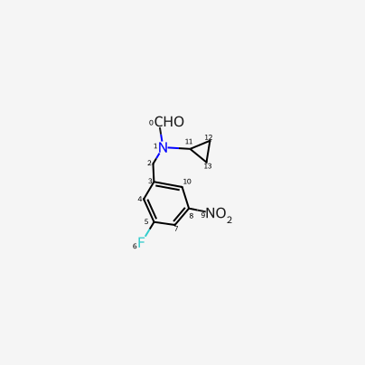 O=CN(Cc1cc(F)cc([N+](=O)[O-])c1)C1CC1